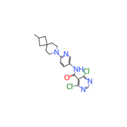 CC1CC2(CCN(c3ccc(NC(=O)c4c(Cl)ncnc4Cl)cn3)CC2)C1